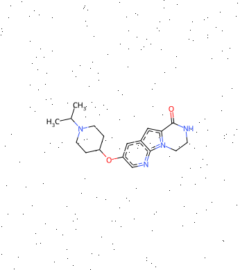 CC(C)N1CCC(Oc2cnc3c(c2)cc2n3CCNC2=O)CC1